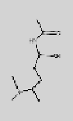 CC(=O)NC(S)CCC(C)N(C)C